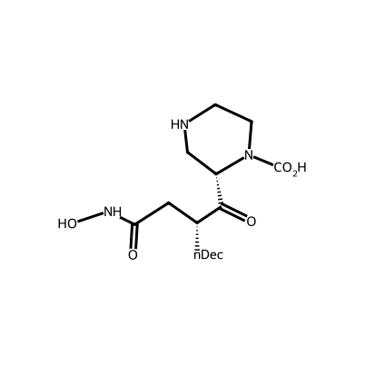 CCCCCCCCCC[C@H](CC(=O)NO)C(=O)[C@@H]1CNCCN1C(=O)O